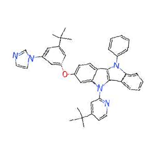 CC(C)(C)c1cc(Oc2ccc3c(c2)n(-c2cc(C(C)(C)C)ccn2)c2c4ccccc4n(-c4ccccc4)c32)cc(-n2ccnc2)c1